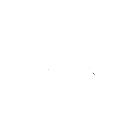 C[C@@H](OC(=O)c1ccc2cc(O)ccc2c1)c1ccccc1